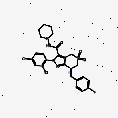 O=C(NN1CCCCC1)c1c2c(nn1-c1ccc(Cl)cc1Cl)/C(=C/c1ccc(F)cc1)CS(=O)(=O)C2